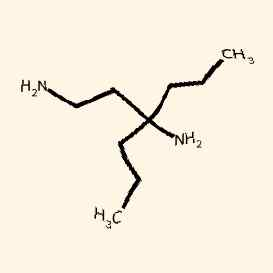 CCCC(N)(CCC)CCN